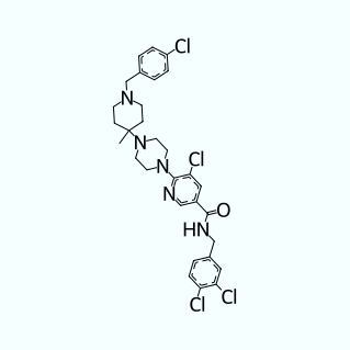 CC1(N2CCN(c3ncc(C(=O)NCc4ccc(Cl)c(Cl)c4)cc3Cl)CC2)CCN(Cc2ccc(Cl)cc2)CC1